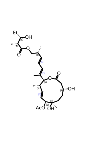 CC[C@H](O)[C@@H](C)C(=O)OC[C@H](C)/C=C/C=C(\C)[C@H]1OC(=O)C[C@H](O)CC[C@@](C)(O)[C@@H](OC(C)=O)/C=C/[C@@H]1C